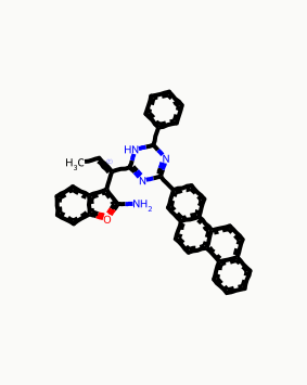 C/C=C(/C1=NC(c2ccc3c(ccc4c5ccccc5ccc34)c2)=NC(c2ccccc2)N1)c1c(N)oc2ccccc12